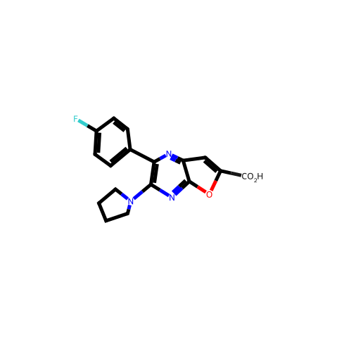 O=C(O)c1cc2nc(-c3ccc(F)cc3)c(N3CCCC3)nc2o1